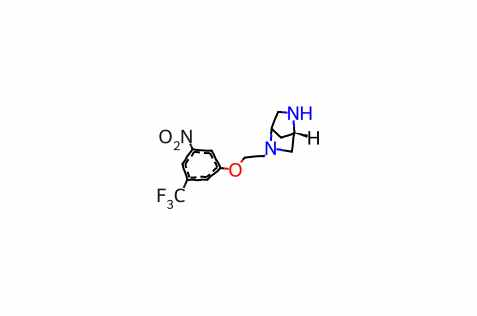 O=[N+]([O-])c1cc(OCCN2C[C@@H]3CC2CN3)cc(C(F)(F)F)c1